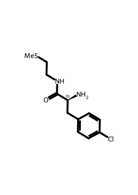 CSCCNC(=O)[C@@H](N)Cc1ccc(Cl)cc1